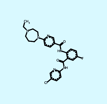 CCN1CCCN(c2ccc(C(=O)Nc3ccc(F)cc3C(=O)Nc3ccc(Cl)cn3)cn2)CC1